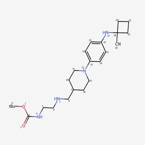 CC(C)(C)OC(=O)NCCNCC1CCN(c2ccc(NC3(C#N)CCC3)cc2)CC1